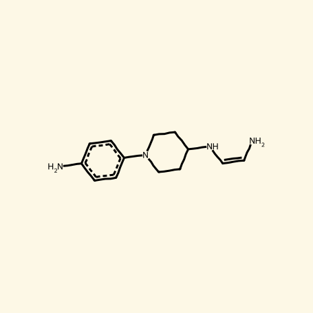 N/C=C\NC1CCN(c2ccc(N)cc2)CC1